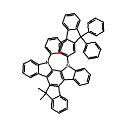 CC1(C)c2ccccc2-c2c1c1c3ccccc3n(-c3ccccc3)c1c1c2c2ccccc2n1-c1ccc2c(c1)C(c1ccccc1)(c1ccccc1)c1ccccc1-2